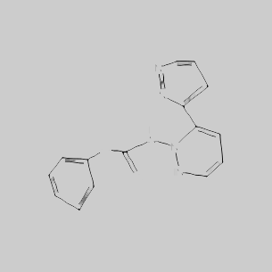 O=C(NN1NC=CC=C1c1cccnn1)Oc1ccccc1